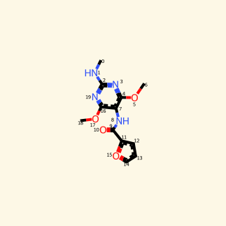 CNc1nc(OC)c(NC(=O)c2ccco2)c(OC)n1